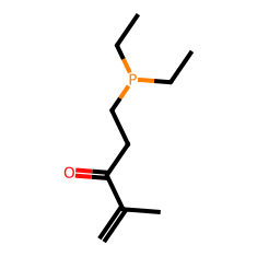 C=C(C)C(=O)CCP(CC)CC